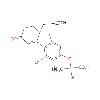 C#CCC12CCC(=O)C=C1c1c(cc(OC(C(=O)O)(C(=O)O)C(C)C)c(Cl)c1Cl)C2